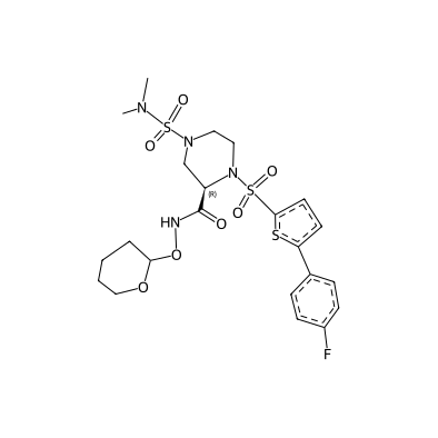 CN(C)S(=O)(=O)N1CCN(S(=O)(=O)c2ccc(-c3ccc(F)cc3)s2)[C@@H](C(=O)NOC2CCCCO2)C1